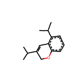 CC(C)C1=Cc2c(cccc2C(C)C)OC1